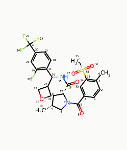 Cc1ccc(C(=O)N2C[C@H](C)C[C@@H]2C(=O)N[C@@H](c2ccc(C(F)(F)F)cc2F)C2COC2)cc1S(C)(=O)=O